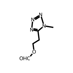 Cn1nnnc1CCOC=O